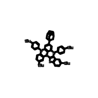 CC(C)(C)c1ccc(N2c3ccc(C(C)(C)C)cc3B3c4sc5ccc(C(C)(C)C)cc5c4N(c4ccc(C(C)(C)C)cc4)c4cc(C56CC7CC(C5)C(C7)C6)cc2c43)cc1